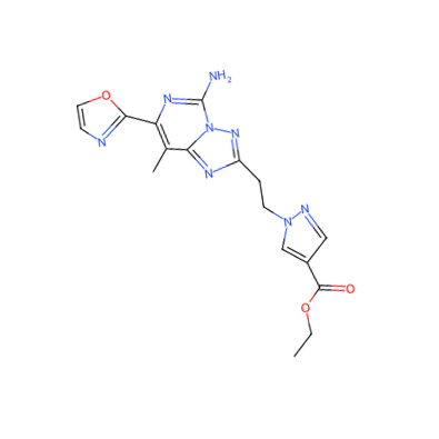 CCOC(=O)c1cnn(CCc2nc3c(C)c(-c4ncco4)nc(N)n3n2)c1